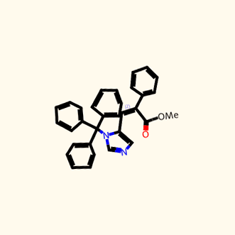 COC(=O)/C(=C\c1cncn1C(c1ccccc1)(c1ccccc1)c1ccccc1)c1ccccc1